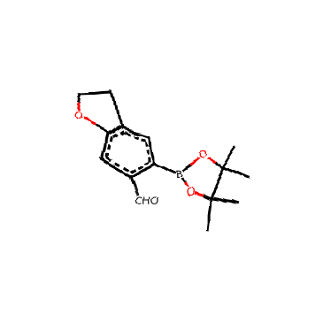 CC1(C)OB(c2cc3c(cc2C=O)OCC3)OC1(C)C